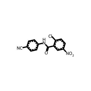 N#Cc1ccc(NC(=O)c2cc([N+](=O)[O-])ccc2Cl)cc1